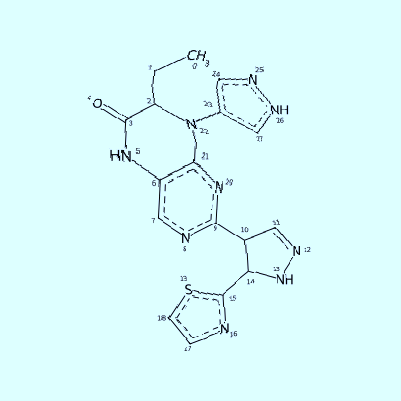 CCC1C(=O)Nc2cnc(C3C=NNC3c3nccs3)nc2N1c1cn[nH]c1